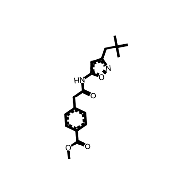 COC(=O)c1ccc(CC(=O)Nc2cc(CC(C)(C)C)no2)cc1